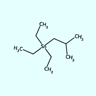 C[CH2][Sn]([CH2]C)([CH2]C)[CH2]C(C)C